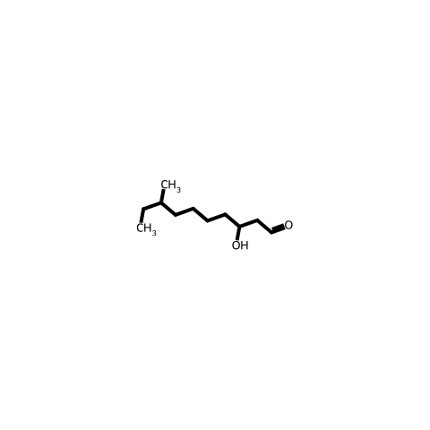 CCC(C)CCCCC(O)CC=O